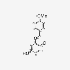 COc1ccc(COc2[c]c(O)ccc2Cl)cc1